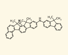 CC1(C)c2ccccc2-c2ccc(Nc3ccc4c(c3)C(C)(C)c3c-4ccc4c3C(C)(C)c3ccc5ccccc5c3-4)cc21